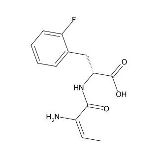 C/C=C(/N)C(=O)N[C@H](Cc1ccccc1F)C(=O)O